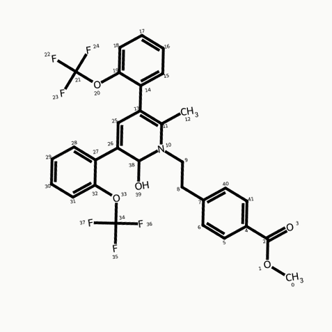 COC(=O)c1ccc(CCN2C(C)=C(c3ccccc3OC(F)(F)F)C=C(c3ccccc3OC(F)(F)F)C2O)cc1